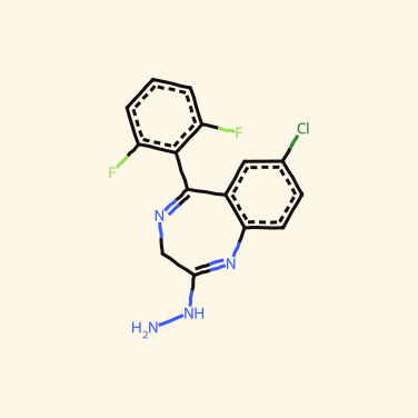 NNC1=Nc2ccc(Cl)cc2C(c2c(F)cccc2F)=NC1